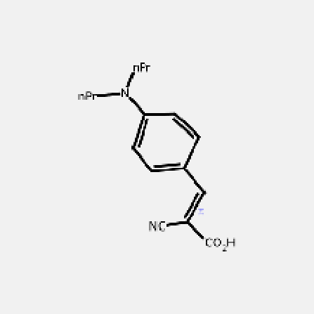 CCCN(CCC)c1ccc(/C=C(\C#N)C(=O)O)cc1